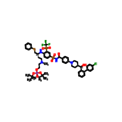 CN(CCOP(=O)(OC(C)(C)C)OC(C)(C)C)CC[C@H](CSc1ccccc1)Nc1ccc(S(=O)(=O)NC(=O)c2ccc(N3CCC([C@@H](O)c4ccccc4-c4ccc(Cl)cc4)CC3)cc2)cc1S(=O)(=O)C(F)(F)F